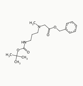 CN(CCCNC(=O)OC(C)(C)C)CC(=O)OCc1ccccc1